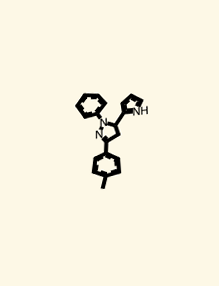 Cc1ccc(C2=NN(c3ccccc3)C(c3ccc[nH]3)C2)cc1